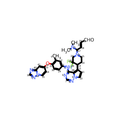 Cc1cc(Nc2ncnn3ccc(C4CCN(C(C=CC=O)N(C)C)CC4(F)F)c23)ccc1Oc1ccn2ncnc2c1